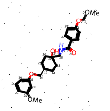 COCOc1ccc(C(=O)NC[C@]2(O)CC[C@@H](COc3cccc(OC)c3)CC2)cc1